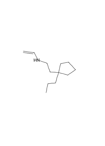 C=CNCCC1(CCC)CCCC1